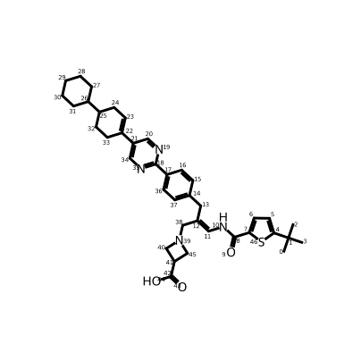 CC(C)(C)c1ccc(C(=O)N/C=C(\Cc2ccc(-c3ncc(C4=CCC(C5CCCCC5)CC4)cn3)cc2)CN2CC(C(=O)O)C2)s1